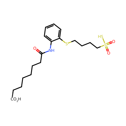 O=C(O)CCCCCCC(=O)Nc1ccccc1SCCCCS(=O)(=O)S